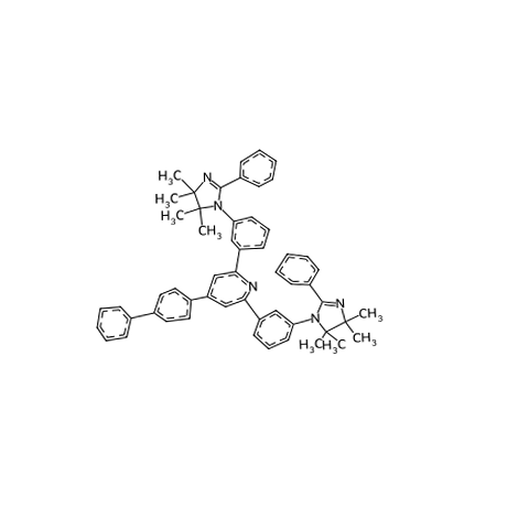 CC1(C)N=C(c2ccccc2)N(c2cccc(-c3cc(-c4ccc(-c5ccccc5)cc4)cc(-c4cccc(N5C(c6ccccc6)=NC(C)(C)C5(C)C)c4)n3)c2)C1(C)C